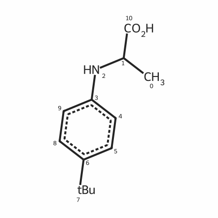 CC(Nc1ccc(C(C)(C)C)cc1)C(=O)O